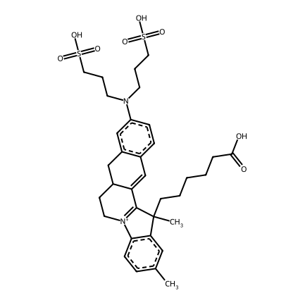 Cc1ccc2c(c1)C(C)(CCCCCC(=O)O)C1=[N+]2CCC2Cc3cc(N(CCCS(=O)(=O)O)CCCS(=O)(=O)O)ccc3C=C12